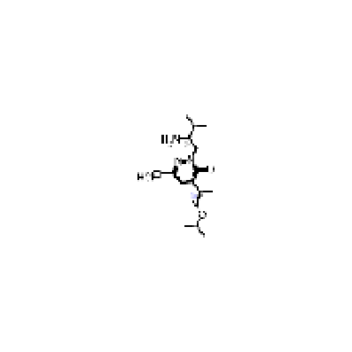 C/C(=N\OC(C)C)c1cc(Cl)nn(C[C@@H](N)C(C)C)c1=O.Cl